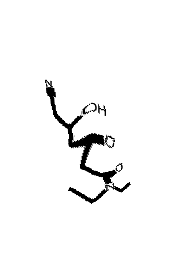 CCN(CC)C(=O)CC(=O)CC(O)CC#N